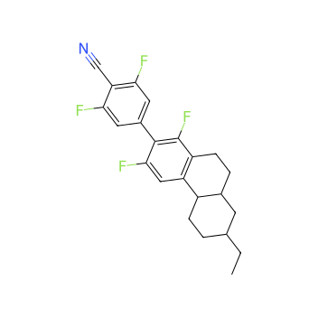 CCC1CCC2c3cc(F)c(-c4cc(F)c(C#N)c(F)c4)c(F)c3CCC2C1